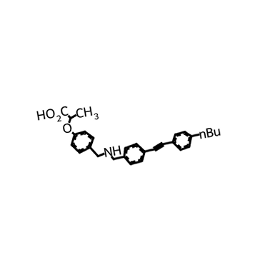 CCCCc1ccc(C#Cc2ccc(CNCc3ccc(OC(C)C(=O)O)cc3)cc2)cc1